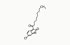 CCCCCCCCCC(=O)C1=c2ccc(Cl)cc2=NC1=O